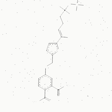 CCC(CC)(CC/C=C(\C)c1ccc(COc2ccc(C(=O)OC)c(C(=O)OC)c2)s1)O[Si](CC)(CC)CC